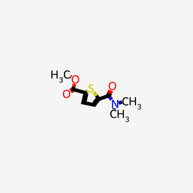 COC(=O)c1ccc(C(=O)N(C)C)s1